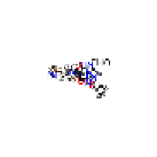 O=CNc1ccnc(/C(=N\OCc2ccccc2)C(=O)NC2C(=O)N3C(C(=O)O)=C(CSc4nncs4)CS[C@H]23)n1